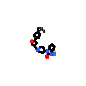 Cc1ccc(C2CC(CN3CCC(n4c(=O)[nH]c5ccccc54)CC3)CO2)cc1